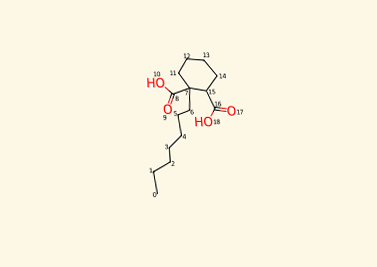 CCCCCCCC1(C(=O)O)CCCCC1C(=O)O